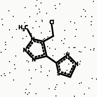 Cn1nnc(-c2nncs2)c1CCl